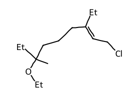 CCOC(C)(CC)CCCC(=CCCl)CC